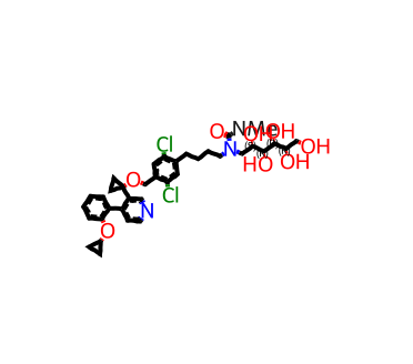 CNC(=O)N(CCCCc1cc(Cl)c(COC2(c3cnccc3-c3ccccc3OC3CC3)CC2)cc1Cl)C[C@H](O)[C@@H](O)[C@H](O)[C@H](O)CO